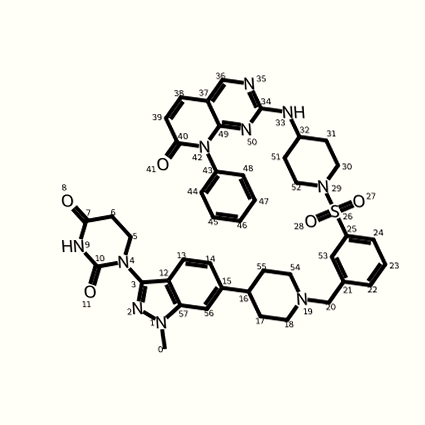 Cn1nc(N2CCC(=O)NC2=O)c2ccc(C3CCN(Cc4cccc(S(=O)(=O)N5CCC(Nc6ncc7ccc(=O)n(-c8ccccc8)c7n6)CC5)c4)CC3)cc21